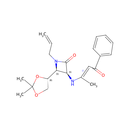 C=CCN1C(=O)[C@@H](N/C(C)=C/C(=O)c2ccccc2)[C@H]1[C@@H]1COC(C)(C)O1